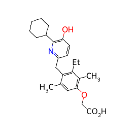 CCc1c(C)c(OCC(=O)O)cc(C)c1Cc1ccc(O)c(C2CCCCC2)n1